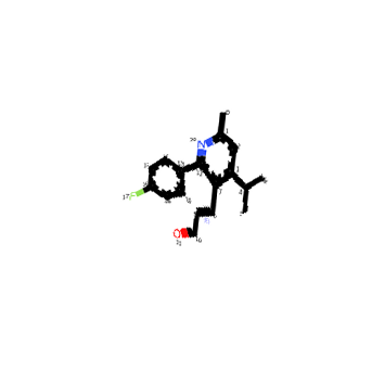 Cc1cc(C(C)C)c(/C=C/C=O)c(-c2ccc(F)cc2)n1